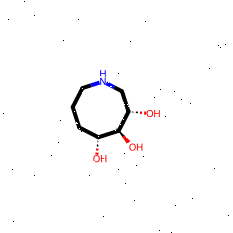 O[C@H]1[C@H](O)CCCNC[C@@H]1O